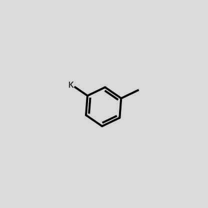 Cc1ccc[c]([K])c1